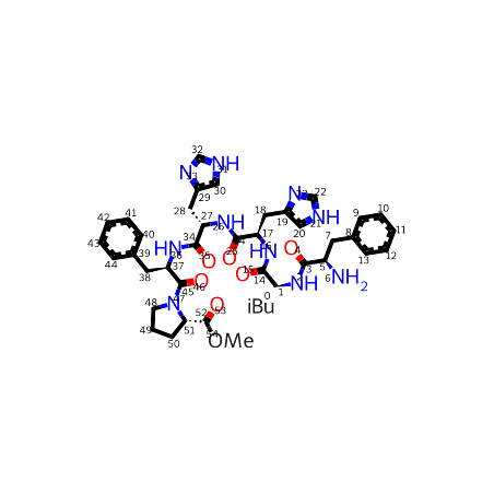 CC[C@H](C)[C@H](NC(=O)[C@H](N)Cc1ccccc1)C(=O)N[C@H](Cc1c[nH]cn1)C(=O)N[C@@H](Cc1c[nH]cn1)C(=O)N[C@H](Cc1ccccc1)C(=O)N1CCC[C@H]1C(=O)OC